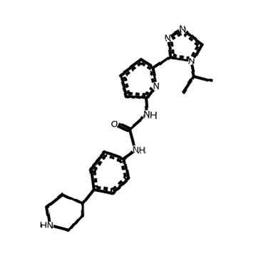 CC(C)n1cnnc1-c1cccc(NC(=O)Nc2ccc(C3CCNCC3)cc2)n1